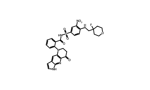 O=C(NS(=O)(=O)c1ccc(NCC2(F)CCOCC2)c([N+](=O)[O-])c1)c1ccccc1N1CCC(=O)c2nc3[nH]ccc3cc21